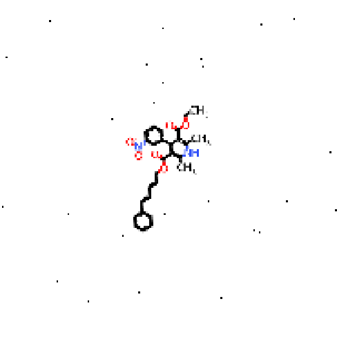 CCOC(=O)C1=C(C)NC(C)=C(C(=O)OC/C=C/C=C/c2ccccc2)C1c1cccc([N+](=O)[O-])c1